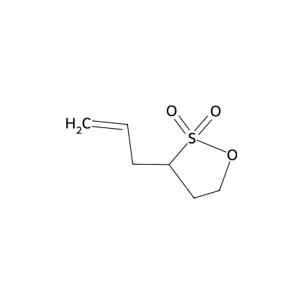 C=CCC1CCOS1(=O)=O